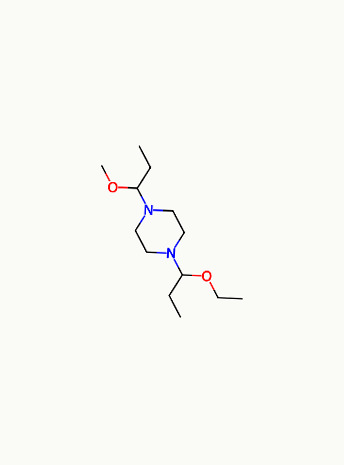 CCOC(CC)N1CCN(C(CC)OC)CC1